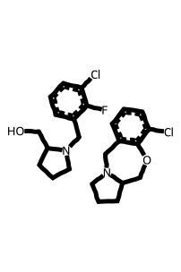 Clc1cccc2c1OCC1CCCN1C2.OCC1CCCN1Cc1cccc(Cl)c1F